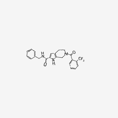 O=C(NCc1ccccc1)c1cc2c([nH]1)CN(C(=O)c1ccccc1C(F)(F)F)CC2